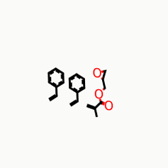 C=C(C)C(=O)OCC1CO1.C=Cc1ccccc1.C=Cc1ccccc1